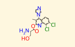 Cc1c(OC(=O)[C@@H](N)CO)nc2c(Cl)c(Cl)ccc2c1-n1ccnc1